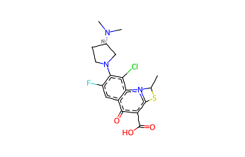 CC1Sc2c(C(=O)O)c(=O)c3cc(F)c(N4CC[C@H](N(C)C)C4)c(Cl)c3n21